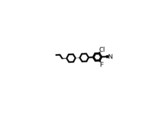 CCC[C@H]1CC[C@H](C2CCC(c3cc(F)c(C#N)c(Cl)c3)CC2)CC1